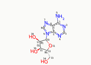 Nc1ncnc2c1ncn2C1O[C@H](CO)[C@@H](O)[C@H]1O